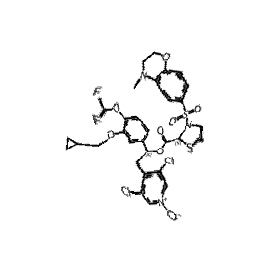 CN1CCOc2ccc(S(=O)(=O)N3CCS[C@H]3C(=O)O[C@@H](Cc3c(Cl)c[n+]([O-])cc3Cl)c3ccc(OC(F)F)c(OCC4CC4)c3)cc21